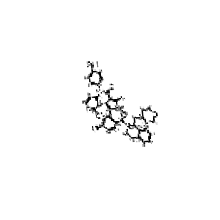 Cc1c(C(=O)N(c2ccc(O)cc2)c2ccnc(C#N)n2)cc(-c2cc(Cl)ccc2C(=O)N2CCc3ccccc3C2CN2CCOCC2)n1C